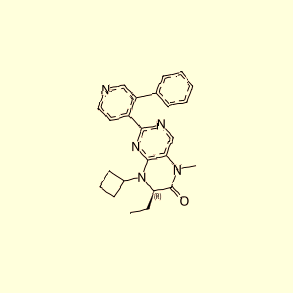 CC[C@@H]1C(=O)N(C)c2cnc(-c3ccncc3-c3ccccc3)nc2N1C1CCC1